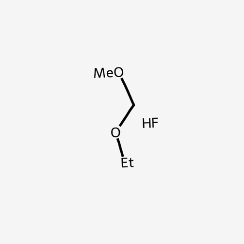 CCOCOC.F